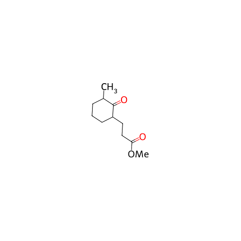 COC(=O)CCC1CCCC(C)C1=O